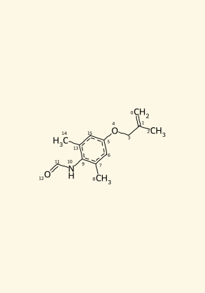 C=C(C)COc1cc(C)c(NC=O)c(C)c1